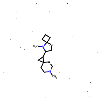 CN1CCC2(CC1)CC2C1CCC2(CCC2)N1C